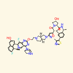 C#Cc1c(F)ccc2cc(O)cc(-c3ncc4c(N5CC6CCCC5CN6)nc(OCCN5CC[C@H]6CN(c7cc([C@H](C(=O)N8C[C@H](O)C[C@H]8C(=O)N[C@@H](C)c8ccc(-c9scnc9C)cc8)C(C)C)on7)C[C@H]6C5)nc4c3F)c12